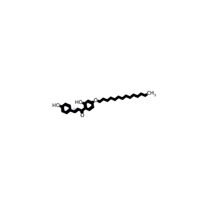 CCCCCCCCCCCCCCOc1ccc(C(=O)/C=C/c2ccc(O)cc2)c(O)c1